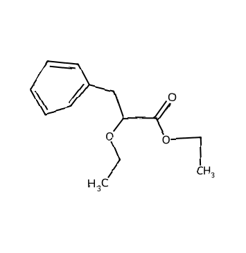 CCOC(=O)C(Cc1ccccc1)OCC